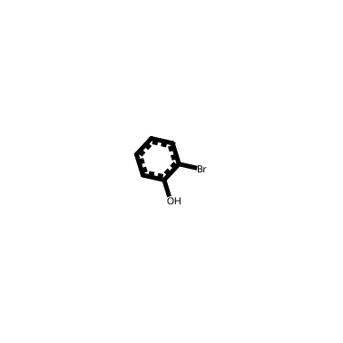 Oc1ccc[c]c1Br